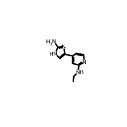 CCNc1cc(-c2c[nH]c(N)n2)ccn1